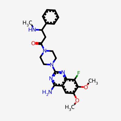 CNC(CC(=O)N1CCN(c2nc(N)c3cc(OC)c(OC)c(F)c3n2)CC1)c1ccccc1